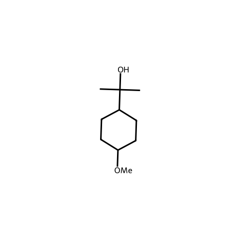 COC1CCC(C(C)(C)O)CC1